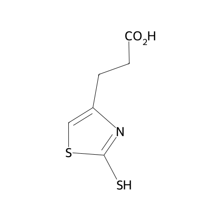 O=C(O)CCc1csc(S)n1